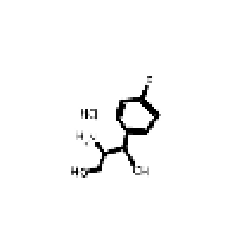 Cl.NC(CO)C(O)c1ccc(F)cc1